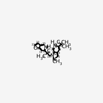 Cn1cc2cc(C(C)(C)C)ncc2[n+]1CC(C)(C)c1cc2occc2cn1